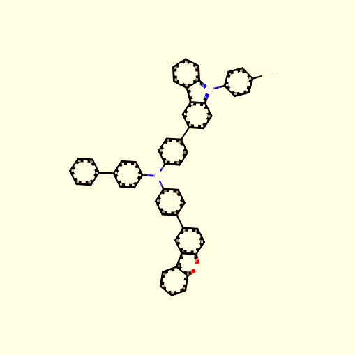 COc1ccc(-n2c3ccccc3c3cc(-c4ccc(N(c5ccc(-c6ccccc6)cc5)c5ccc(-c6ccc7oc8ccccc8c7c6)cc5)cc4)ccc32)cc1